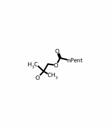 CCCCCC(=O)OCC(C)(C)[O]